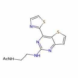 CC(=O)NCCNc1nc(-c2nccs2)c2sccc2n1